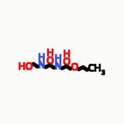 CCCCOCC(O)CNCC(O)CNCCO